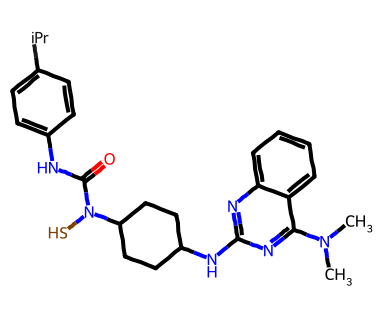 CC(C)c1ccc(NC(=O)N(S)C2CCC(Nc3nc(N(C)C)c4ccccc4n3)CC2)cc1